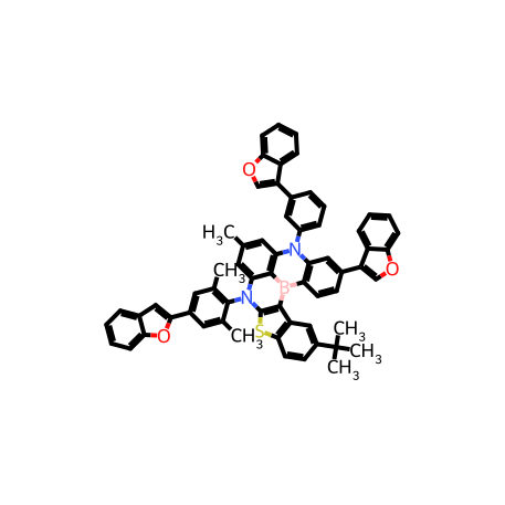 Cc1cc2c3c(c1)N(c1c(C)cc(-c4cc5ccccc5o4)cc1C)c1sc4ccc(C(C)(C)C)cc4c1B3c1ccc(-c3coc4ccccc34)cc1N2c1cccc(-c2coc3ccccc23)c1